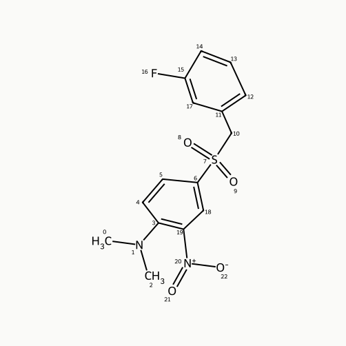 CN(C)c1ccc(S(=O)(=O)Cc2cccc(F)c2)cc1[N+](=O)[O-]